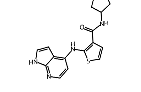 O=C(NC1CCNC1)c1ccsc1Nc1ccnc2[nH]ccc12